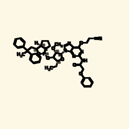 CC[C@H]1O[C@@H](n2cnc3c(OCCC#N)nc(NC(=O)COc4ccccc4)nc32)[C@@H](OC)C1O[P@]1O[C@@H](CS(C)(c2ccccc2)c2ccccc2)[C@H]2CCCN21